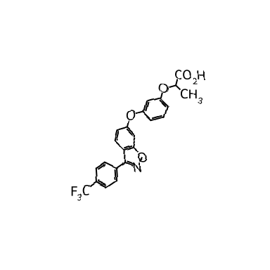 CC(Oc1cccc(Oc2ccc3c(-c4ccc(C(F)(F)F)cc4)noc3c2)c1)C(=O)O